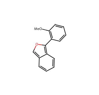 COc1[c]cccc1-c1occ2ccccc12